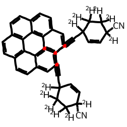 [2H]C1(C#N)C=CC([2H])(C#Cc2ccc3ccc4ccc5ccc6ccc7ccc(C#CC8([2H])C=CC([2H])(C#N)C([2H])([2H])C8([2H])[2H])cc7c6c5c4c3c2)C([2H])([2H])C1([2H])[2H]